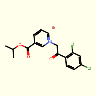 CC(C)OC(=O)c1ccc[n+](CC(=O)c2ccc(Cl)cc2Cl)c1.[Br-]